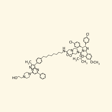 COc1ccc(C2=N[C@H](c3ccc(Cl)cc3)[C@H](c3ccc(Cl)cc3)N2C(=O)N2CCN(CC(=O)NCCCCCCCCc3ccc(-c4c(C)nn5c(N6CCN(CCO)CC6)cc(-c6ccccc6)nc45)cc3)C(=O)C2)c(OC(C)C)c1